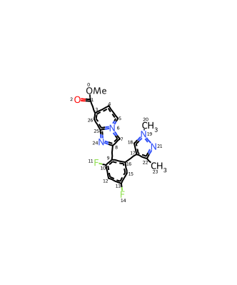 COC(=O)c1ccn2cc(-c3c(F)cc(F)cc3-c3cn(C)nc3C)nc2c1